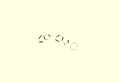 Cc1ccc2nc(Oc3ccc(C(C)C(=O)N4CCO[C@@H](CO)C4)cc3)sc2c1